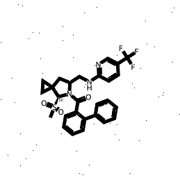 CS(=O)(=O)[C@@H]1N(C(=O)c2ccccc2-c2ccccc2)C(CNc2ccc(C(F)(F)F)cn2)CC12CC2